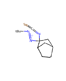 CC(C)(C)/N=N/C1(N=C=S)CC2CCC1C2